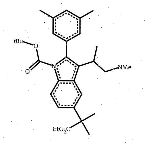 CCOC(=O)C(C)(C)c1ccc2c(c1)c(C(C)CNC)c(-c1cc(C)cc(C)c1)n2C(=O)OC(C)(C)C